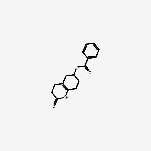 O=C1CCC2=C(CCC(OC(=O)c3ccccc3)C2)N1